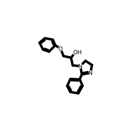 OC(COc1ccccc1)CN1CCN=C1c1ccccc1